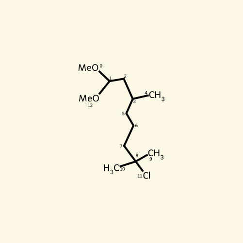 COC(CC(C)CCCC(C)(C)Cl)OC